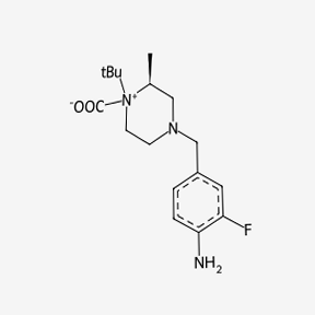 C[C@H]1CN(Cc2ccc(N)c(F)c2)CC[N+]1(C(=O)[O-])C(C)(C)C